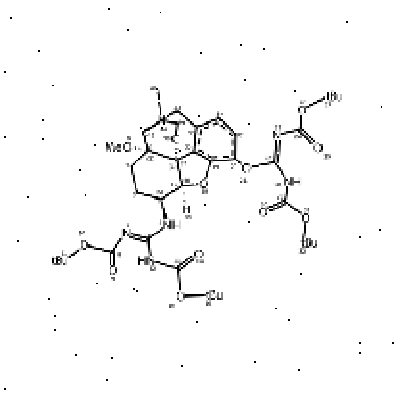 CO[C@@]12CC[C@H](NC(=NC(=O)OC(C)(C)C)NC(=O)OC(C)(C)C)[C@@H]3Oc4c(OC(=NC(=O)OC(C)(C)C)NC(=O)OC(C)(C)C)ccc5c4[C@@]31CCN(C)C2C5